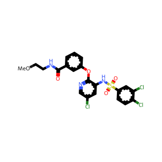 COCCNC(=O)c1cccc(Oc2ncc(Cl)cc2NS(=O)(=O)c2ccc(Cl)c(Cl)c2)c1